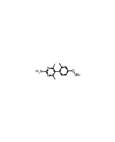 Cc1cc(OC(C)(C)C)ccc1-c1c(C)nc(N)nc1C